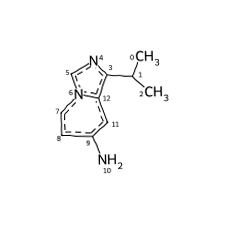 CC(C)c1ncn2ccc(N)cc12